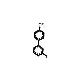 Fc1[c]ccc(-c2ccc(C(F)(F)F)cc2)c1